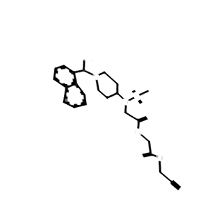 C#CCNC(=O)CNC(=O)CN(C1CCN(C(c2cccc3ccccc23)C(F)(F)F)CC1)S(C)(=O)=O